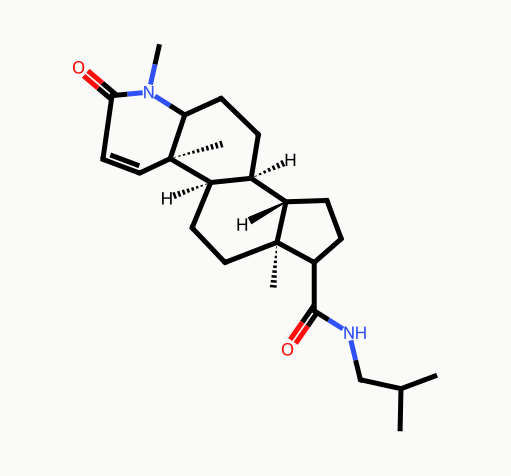 CC(C)CNC(=O)C1CC[C@H]2[C@@H]3CCC4N(C)C(=O)C=C[C@]4(C)[C@@H]3CC[C@]12C